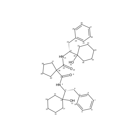 O=C(N[C@H](Cc1ccccc1)C1(O)CCCCC1)C1(C(=O)N[C@H](Cc2ccccc2)C2(O)CCCCC2)CCCC1